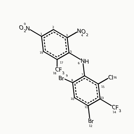 O=[N+]([O-])c1cc([N+](=O)[O-])c(Nc2c(Br)cc(Br)c(C(F)(F)F)c2Cl)c(C(F)(F)F)c1